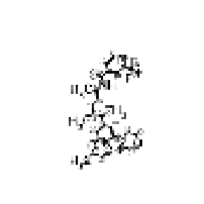 C=C(/C(C)=C\C=C(/C)NC(=O)c1ccnc(C(F)(F)F)c1)c1cc(O[C@H](C)CO)nc(N2CCOCC2)c1